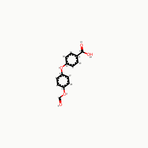 O=COc1ccc(Oc2ccc(C(=O)O)cc2)cc1